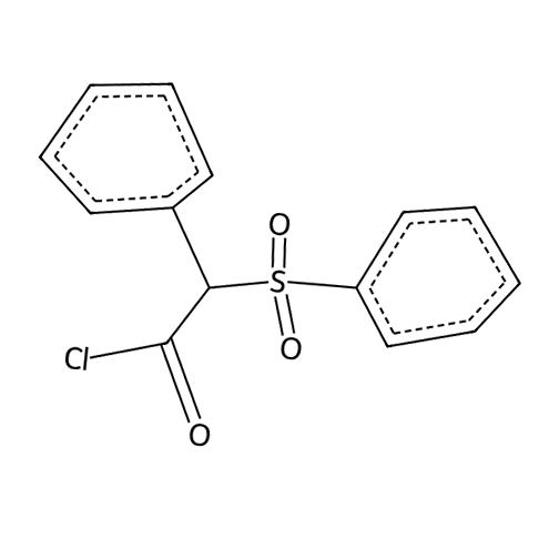 O=C(Cl)C(c1ccccc1)S(=O)(=O)c1ccccc1